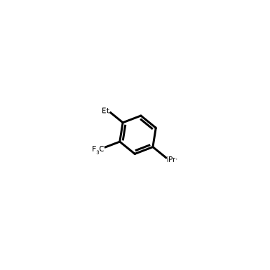 CCc1ccc([C](C)C)cc1C(F)(F)F